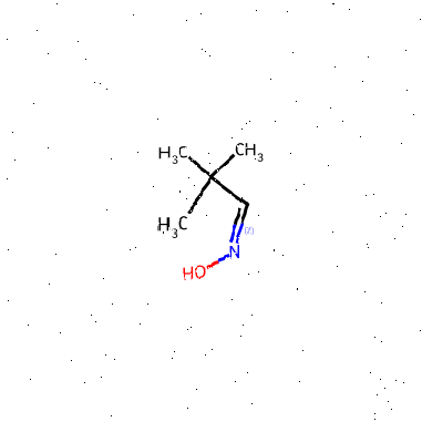 CC(C)(C)/C=N\O